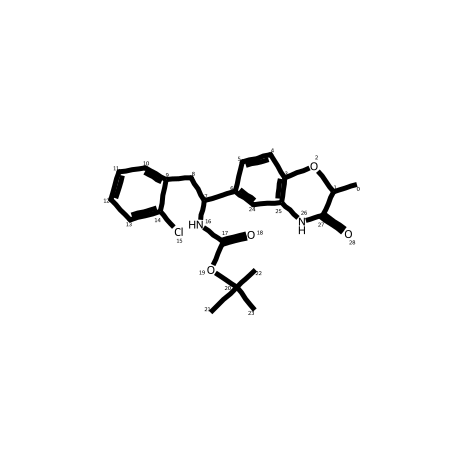 CC1Oc2ccc(C(Cc3ccccc3Cl)NC(=O)OC(C)(C)C)cc2NC1=O